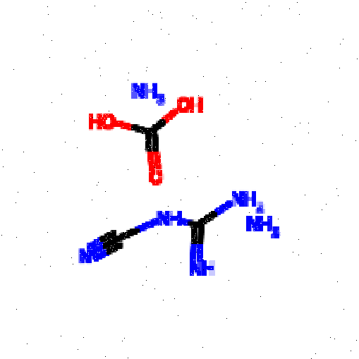 N.N.N#CNC(=N)N.O=C(O)O